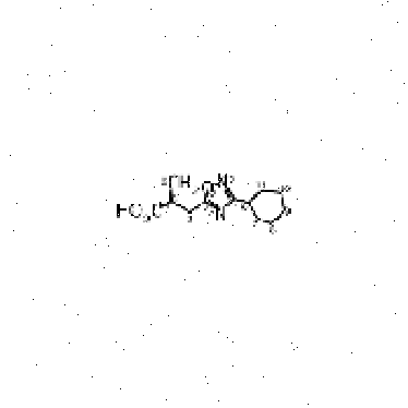 C=C(Cc1nc(C2CCCCC2)no1)C(=O)O